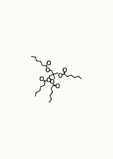 CCCCCC(=O)OCC(COC(=O)CCCCC)(COC(=O)CCCCC)COC(=O)CCCCC